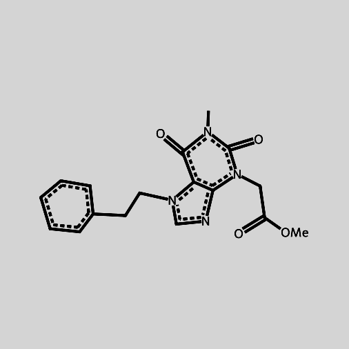 COC(=O)Cn1c(=O)n(C)c(=O)c2c1ncn2CCc1ccccc1